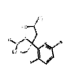 CC(C)(C)[S+]([O-])N[C@@](CF)(C[C@@H](O)C(F)(F)F)c1nc(Br)ccc1F